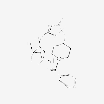 CC1(CC2CCN(C(=O)c3ccncc3)CC2)SC(N[C@H]2C[C@@H]3CC[C@H]2C3)=NC1=O